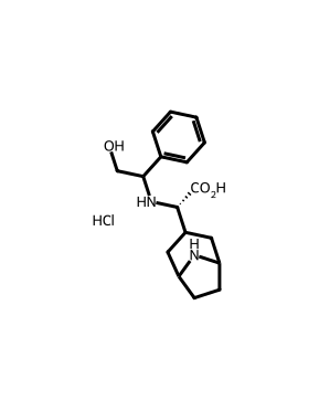 Cl.O=C(O)[C@@H](NC(CO)c1ccccc1)C1CC2CCC(C1)N2